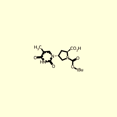 Cc1cn([C@@H]2C[C@@H](C(=O)O)N(C(=O)OC(C)(C)C)C2)c(=O)[nH]c1=O